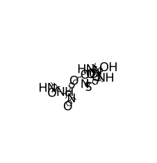 CCN(c1cc(-c2ccc(OCCCCOCC(=O)N[C@H](C(=O)N3C[C@H](O)C[C@H]3C(=O)N[C@@H](C)c3ccc(-c4scnc4C)cc3)C(C)(C)C)cc2)cc(CNCc2c(C)cc(C)[nH]c2=O)c1C)C1CCOCC1